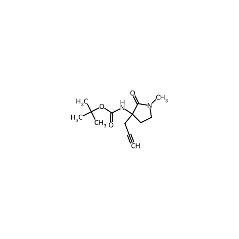 C#CCC1(NC(=O)OC(C)(C)C)CCN(C)C1=O